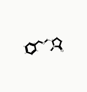 CN1C(=O)CC[C@H]1COCc1ccccc1